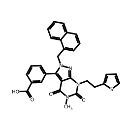 Cn1c(=O)c2c(-c3cccc(C(=O)O)c3)n(Cc3cccc4ccccc34)nc2n(CCc2cccs2)c1=O